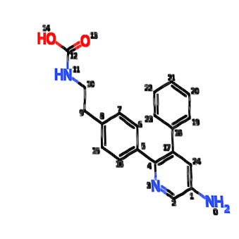 Nc1cnc(-c2ccc(CCNC(=O)O)cc2)c(-c2ccccc2)c1